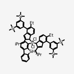 CCc1ccc2c(c1-c1cc([Si](C)(C)C)cc([Si](C)(C)C)c1)C=C(CC(C)C)[CH]2[Zr]([Cl])([Cl])([c]1cccc2c1[SiH2]c1ccccc1-2)[CH]1C(CC(C)C)=Cc2c1ccc(CC)c2-c1cc([Si](C)(C)C)cc([Si](C)(C)C)c1